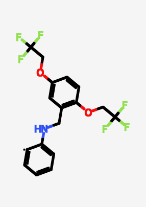 FC(F)(F)COc1ccc(OCC(F)(F)F)c(CNc2[c]cccc2)c1